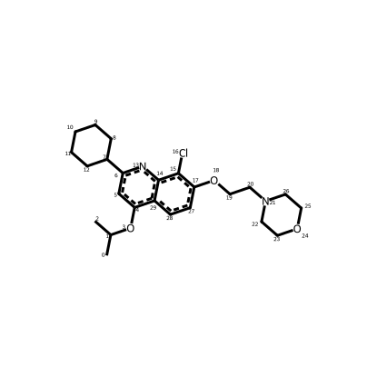 CC(C)Oc1cc(C2CCCCC2)nc2c(Cl)c(OCCN3CCOCC3)ccc12